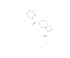 CNCC[C@@H](C)NC(=O)c1c[nH]c2ncc(C(=N)c3ccc(Cl)cc3NC)nc12